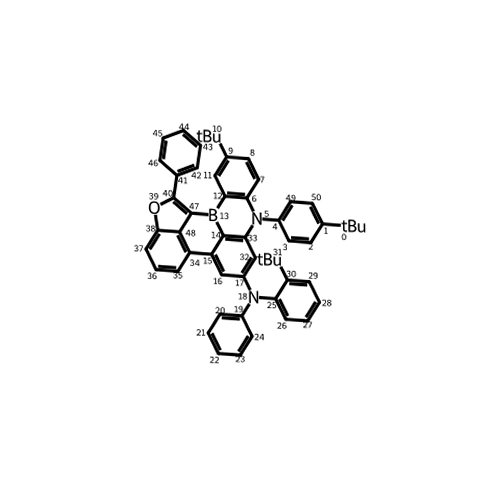 CC(C)(C)c1ccc(N2c3ccc(C(C)(C)C)cc3B3c4c(cc(N(c5ccccc5)c5ccccc5C(C)(C)C)cc42)-c2cccc4oc(-c5ccccc5)c3c24)cc1